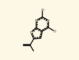 C=C(C)c1cc2c(Cl)nc(CC)nc2s1